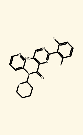 O=C(c1nc(-c2c(F)cccc2F)ncc1O)N(c1cccnc1)C1CCCCO1